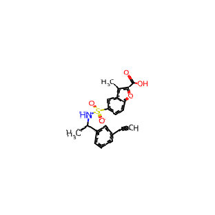 C#Cc1cccc(C(C)NS(=O)(=O)c2ccc3oc(C(=O)O)c(C)c3c2)c1